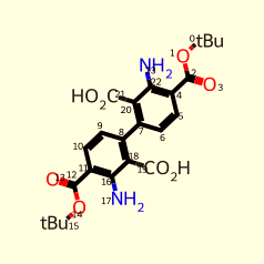 CC(C)(C)OC(=O)c1ccc(-c2ccc(C(=O)OC(C)(C)C)c(N)c2C(=O)O)c(C(=O)O)c1N